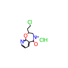 CN1CC(CCCl)Oc2ncccc2C1=O.Cl